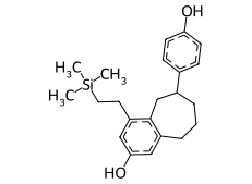 C[Si](C)(C)CCc1cc(O)cc2c1CC(c1ccc(O)cc1)CCC2